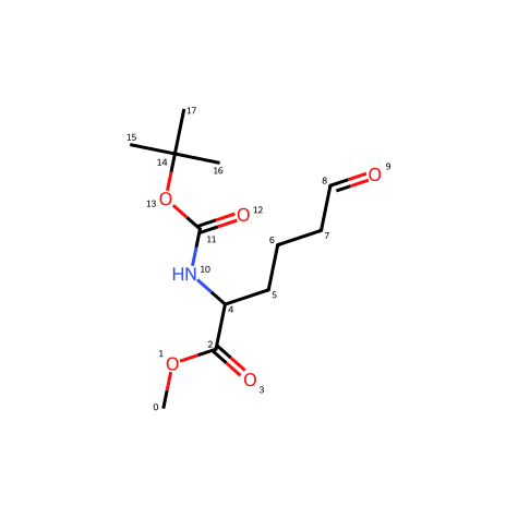 COC(=O)C(CCCC=O)NC(=O)OC(C)(C)C